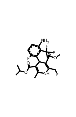 COC(=O)C1=C(CF)NC(C)=C(C(=O)OC(C)C)C1c1c(F)ccc(N)c1C(F)(F)F